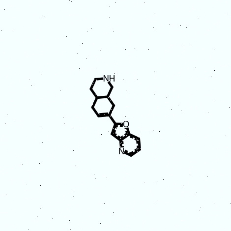 C1=C(c2cc3ncccc3o2)CC2CNCCC2C1